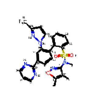 Cc1onc(N(C)S(=O)(=O)c2ccccc2-c2ccc(-c3ncccn3)cc2-n2ccc(C(F)(F)F)n2)c1C